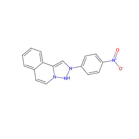 O=[N+]([O-])c1ccc(N2C=C3c4ccccc4C=CN3N2)cc1